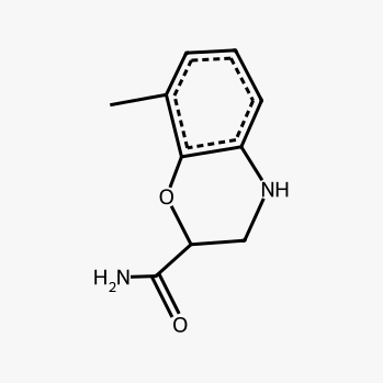 Cc1cccc2c1OC(C(N)=O)CN2